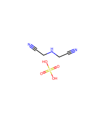 N#CCNCC#N.O=S(=O)(O)O